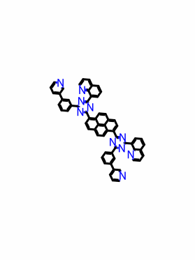 c1cncc(-c2cccc(-c3nc(-c4ccc5ccc6c(-c7nc(-c8cccc(-c9cccnc9)c8)nc(-c8cccc9cccnc89)n7)ccc7ccc4c5c76)nc(-c4cccc5cccnc45)n3)c2)c1